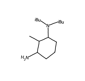 CCC(C)N(C(C)CC)C1CCCC(N)C1C